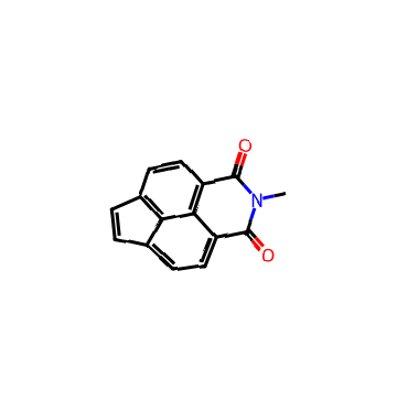 CN1C(=O)c2ccc3c4c(ccc(c24)C1=O)C=C3